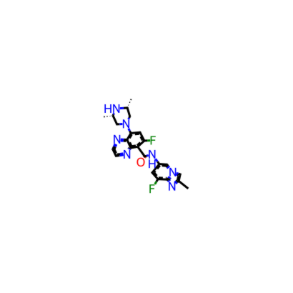 Cc1cn2cc(NC(=O)c3c(F)cc(N4C[C@@H](C)N[C@@H](C)C4)c4nccnc34)cc(F)c2n1